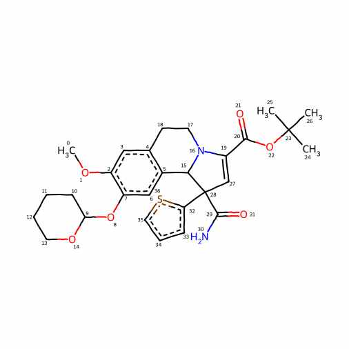 COc1cc2c(cc1OC1CCCCO1)C1N(CC2)C(C(=O)OC(C)(C)C)=CC1(C(N)=O)c1cccs1